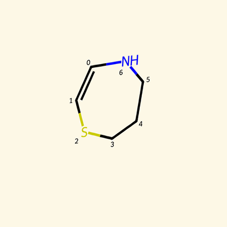 C1=CSCCCN1